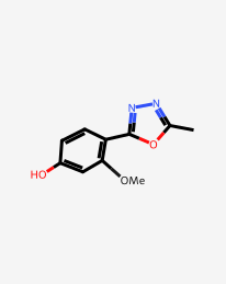 COc1cc(O)ccc1-c1nnc(C)o1